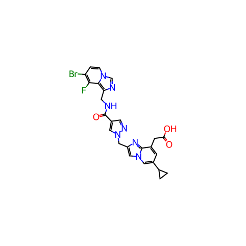 O=C(O)Cc1cc(C2CC2)cn2cc(Cn3cc(C(=O)NCc4ncn5ccc(Br)c(F)c45)cn3)nc12